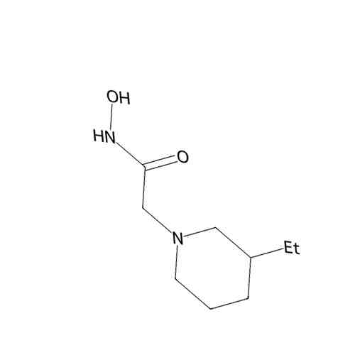 CCC1CCCN(CC(=O)NO)C1